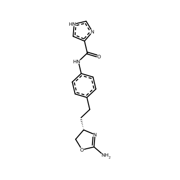 NC1=N[C@@H](CCc2ccc(NC(=O)c3c[nH]cn3)cc2)CO1